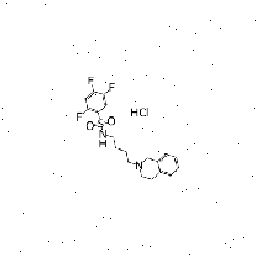 Cl.O=S(=O)(NCCCCN1CCc2ccccc2C1)c1cc(F)c(F)cc1F